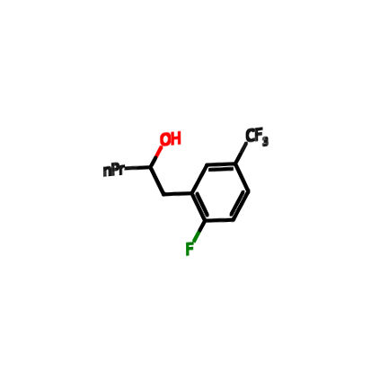 CCCC(O)Cc1cc(C(F)(F)F)ccc1F